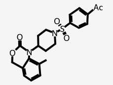 CC(=O)c1ccc(S(=O)(=O)N2CCC(N3C(=O)OCc4cccc(C)c43)CC2)cc1